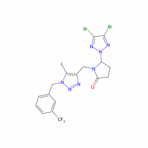 O=C1CCC(n2nc(Br)c(Br)n2)N1Cc1nnn(Cc2cccc(C(F)(F)F)c2)c1I